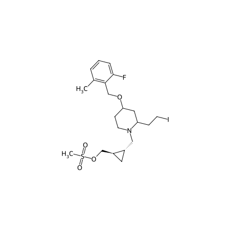 Cc1cccc(F)c1COC1CCN(C[C@@H]2C[C@H]2COS(C)(=O)=O)C(CCI)C1